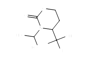 CC(C)N1C(=O)OCCC1C(C)(C)C